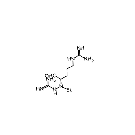 CCN(NC(=N)N)C([C]=O)CCCNC(=N)N